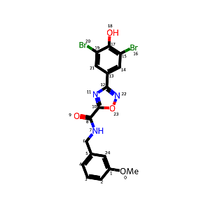 COc1cccc(CNC(=O)c2nc(-c3cc(Br)c(O)c(Br)c3)no2)c1